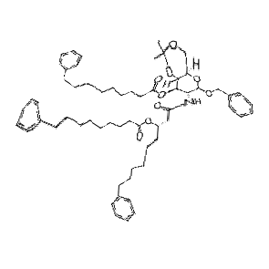 CC1(C)OC[C@H]2O[C@@H](OCc3ccccc3)[C@H](NC(=O)C[C@H](CCCCCCc3ccccc3)OC(=O)CCCCCCCCc3ccccc3)[C@@H](OC(=O)CCCCCCCCc3ccccc3)[C@@H]2O1